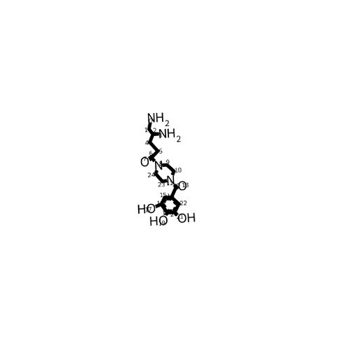 NCC(N)CCC(=O)N1CCN(C(=O)c2cc(O)c(O)c(O)c2)CC1